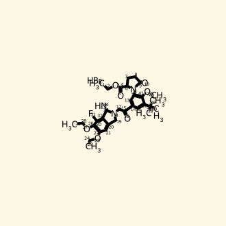 Br.CCOC(=O)C1CCC(=O)N1c1cc(C(=O)CN2Cc3cc(OCC)c(OCC)c(F)c3C2=N)cc(C(C)(C)C)c1OC